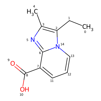 CCc1c(C)nc2c(C(=O)O)cccn12